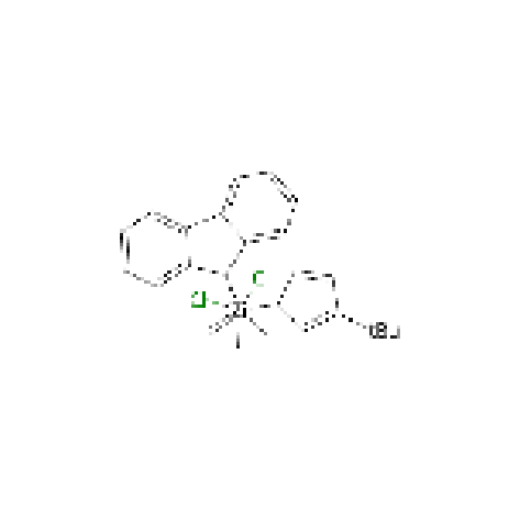 [CH2]=[Zr]([CH3])([CH3])([Cl])([Cl])([CH]1C=CC(C(C)(C)C)=C1)[CH]1c2ccccc2-c2ccccc21